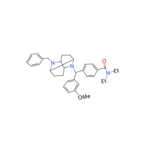 CCN(CC)C(=O)c1ccc(C(c2cccc(OC)c2)N2C3CCC4C2CCC3N4Cc2ccccc2)cc1